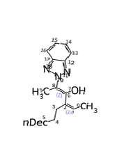 C/C=C(CCCCCCCCCCCC)\C(O)=C(/C)n1nc2ccccc2n1